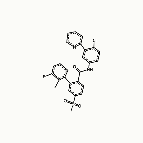 Cc1c(F)cccc1-c1cc(S(C)(=O)=O)ccc1C(=O)Nc1ccc(Cl)c(-c2ccccn2)c1